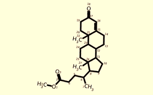 COC(=O)CCC(C)C1CCC2C3CCC4=CC(=O)CCC4(C)C3CCC12C